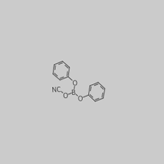 N#COB(Oc1ccccc1)Oc1ccccc1